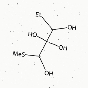 CCC(O)C(O)(O)[C](O)SC